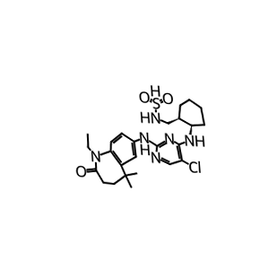 CCN1C(=O)CCC(C)(C)c2cc(Nc3ncc(Cl)c(N[C@@H]4CCCC[C@@H]4CN[SH](=O)=O)n3)ccc21